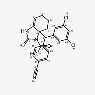 CC(=O)N1C(=O)NC2=CCCCC21C(c1ccc(C#N)cc1)c1cc(Cl)cc(Cl)c1